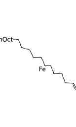 C=CCCCCCCCCCCCCCCCCCC.[Fe]